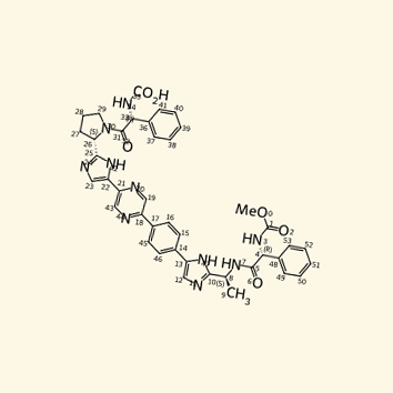 COC(=O)N[C@@H](C(=O)N[C@@H](C)c1ncc(-c2ccc(-c3cnc(-c4cnc([C@@H]5CCCN5C(=O)[C@H](NC(=O)O)c5ccccc5)[nH]4)cn3)cc2)[nH]1)c1ccccc1